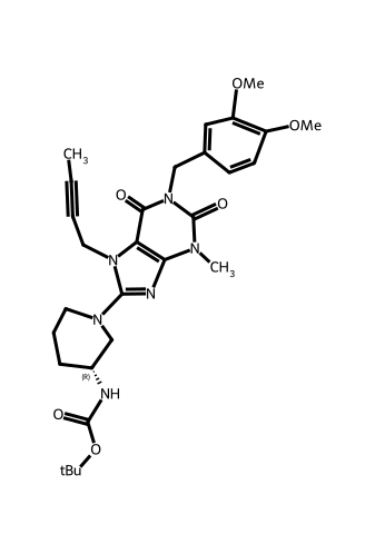 CC#CCn1c(N2CCC[C@@H](NC(=O)OC(C)(C)C)C2)nc2c1c(=O)n(Cc1ccc(OC)c(OC)c1)c(=O)n2C